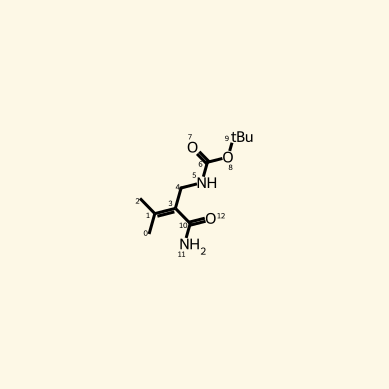 CC(C)=C(CNC(=O)OC(C)(C)C)C(N)=O